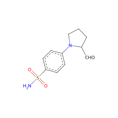 NS(=O)(=O)c1ccc(N2CCCC2C=O)cc1